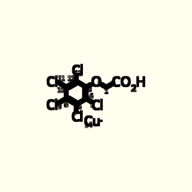 O=C(O)COc1c(Cl)c(Cl)c(Cl)c(Cl)c1Cl.[Cu]